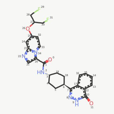 O=C(N[C@H]1CC[C@H](c2n[nH]c(=O)c3ccccc32)CC1)c1cnc2cc(OC(CF)CF)ccn12